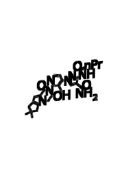 CCCC(=O)Nc1nn(-c2ccnc(N3CCn4c(cc5c4CC(C)(C)C5)C3=O)c2CO)cc1C(N)=O